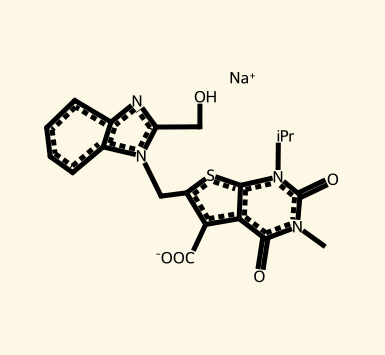 CC(C)n1c(=O)n(C)c(=O)c2c(C(=O)[O-])c(Cn3c(CO)nc4ccccc43)sc21.[Na+]